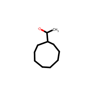 CC([O])C1CCCCCCCC1